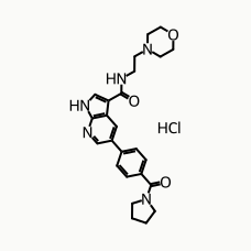 Cl.O=C(NCCN1CCOCC1)c1c[nH]c2ncc(-c3ccc(C(=O)N4CCCC4)cc3)cc12